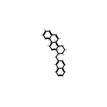 [CH](c1ccc2ccccc2c1)C1CCCc2c1ccc1c2ccc2ccccc21